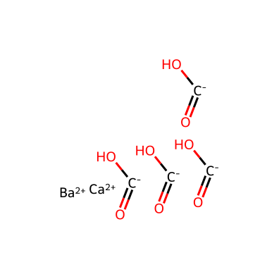 O=[C-]O.O=[C-]O.O=[C-]O.O=[C-]O.[Ba+2].[Ca+2]